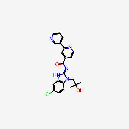 CC(C)(O)Cn1/c(=N/C(=O)c2ccnc(-c3cccnc3)c2)[nH]c2cc(Cl)ccc21